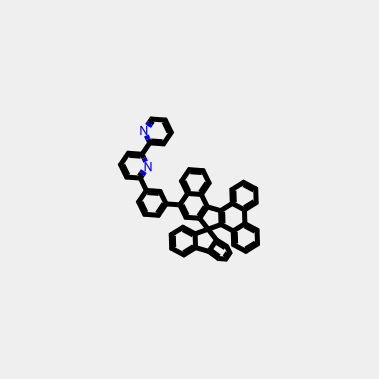 c1ccc(-c2cccc(-c3cccc(-c4cc5c(c6ccccc46)-c4c(c6ccccc6c6ccccc46)C54c5ccccc5-c5ccccc54)c3)n2)nc1